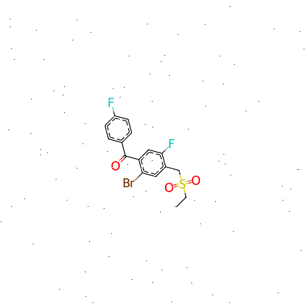 CCS(=O)(=O)Cc1cc(Br)c(C(=O)c2ccc(F)cc2)cc1F